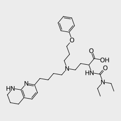 CCN(CC)C(=O)NC(CCN(CCCCc1ccc2c(n1)NCCC2)CCCOc1ccccc1)C(=O)O